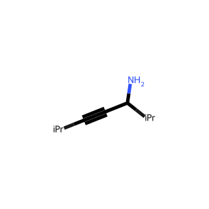 CC(C)C#CC(N)C(C)C